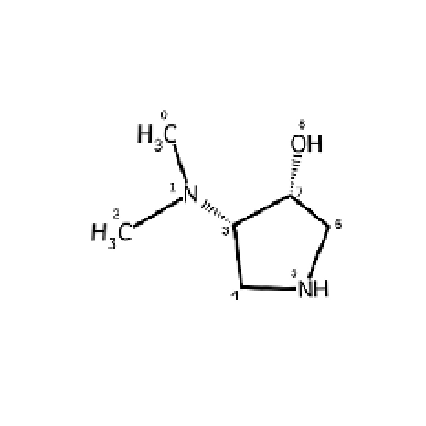 CN(C)[C@H]1CNC[C@H]1O